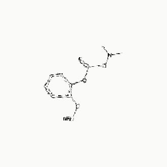 CCCCOc1ccccc1OC(=S)ON(C)C